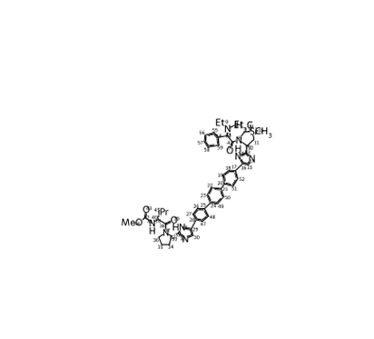 CCN(CC)[C@@H](C(=O)N1C[Si](C)(C)C[C@H]1c1ncc(-c2ccc(-c3ccc(-c4ccc(-c5cnc([C@@H]6CCCN6C(=O)[C@@H](NC(=O)OC)C(C)C)[nH]5)cc4)cc3)cc2)[nH]1)c1ccccc1